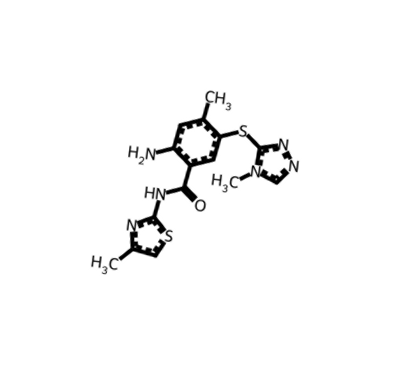 Cc1csc(NC(=O)c2cc(Sc3nncn3C)c(C)cc2N)n1